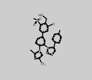 Cc1ccc(-c2cnnn2-c2cc(-c3cc(Cl)c(CO)c(S(C)(=O)=O)c3)ccc2-n2cc(C(F)(F)F)nc2C)cc1